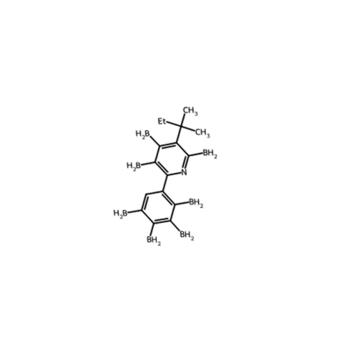 Bc1cc(-c2nc(B)c(C(C)(C)CC)c(B)c2B)c(B)c(B)c1B